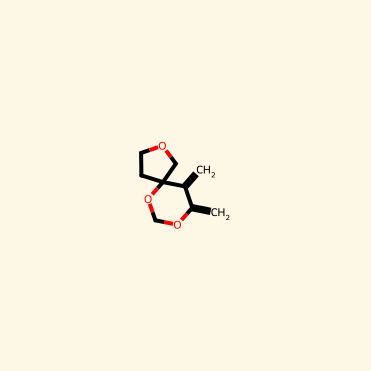 C=C1OCOC2(CCOC2)C1=C